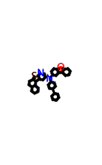 c1ccc(-c2ccc(N(c3ccc4oc5ccccc5c4c3)c3cnc4sc5ccc6ccccc6c5c4c3)cc2)cc1